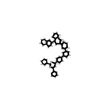 C1=CC(c2nc(-c3ccccc3)cc(-c3ccc(-c4cccc(-c5ccc6oc7c8ccccc8c(-c8ccc9c(c8)CCC=C9)cc7c6c5)c4)cc3)n2)=CCC1